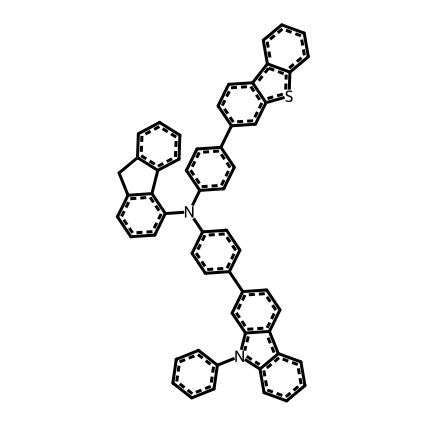 c1ccc(-n2c3ccccc3c3ccc(-c4ccc(N(c5ccc(-c6ccc7c(c6)sc6ccccc67)cc5)c5cccc6c5-c5ccccc5C6)cc4)cc32)cc1